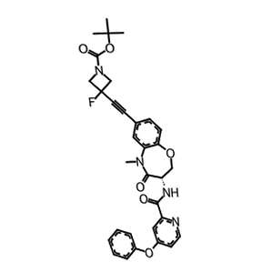 CN1C(=O)[C@@H](NC(=O)c2cc(Oc3ccccc3)ccn2)COc2ccc(C#CC3(F)CN(C(=O)OC(C)(C)C)C3)cc21